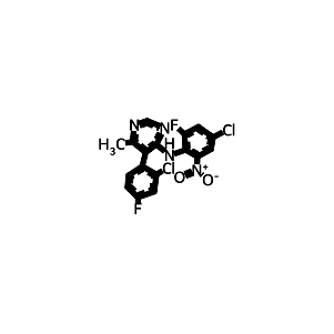 Cc1ncnc(Nc2c(F)cc(Cl)cc2[N+](=O)[O-])c1-c1ccc(F)cc1Cl